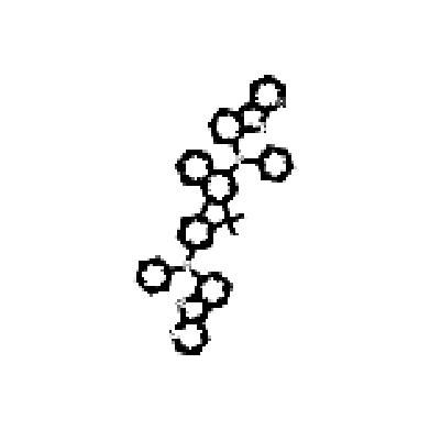 CC1(C)c2cc(N(c3ccccc3)c3cccc4c3oc3ncccc34)ccc2-c2c1cc(N(c1ccccc1)c1cccc3c1oc1ncccc13)c1ccccc21